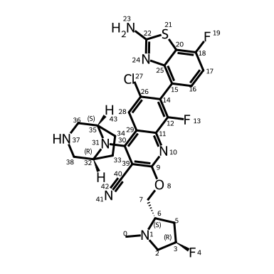 CN1C[C@H](F)C[C@H]1COc1nc2c(F)c(-c3ccc(F)c4sc(N)nc34)c(Cl)cc2c(N2[C@@H]3CC[C@H]2CNC3)c1C#N